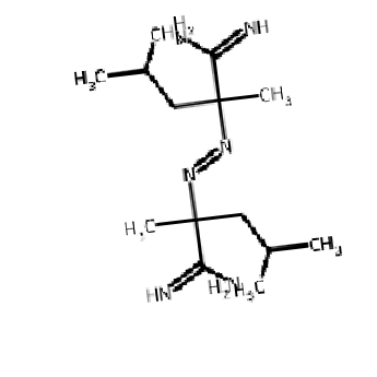 CC(C)CC(C)(/N=N/C(C)(CC(C)C)C(=N)N)C(=N)N